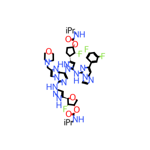 CC(C)NC(=O)O[C@H]1CC[C@@H](c2cc(Nc3nc(-c4cc(F)cc(F)c4)cc4nccn34)[n+](-c3cnc(Nc4cc([C@H]5OC[C@@H](OC(=O)NC(C)C)[C@H]5F)[nH]n4)n4cc(CN5CCOCC5)nc34)[nH]2)[C@H]1F